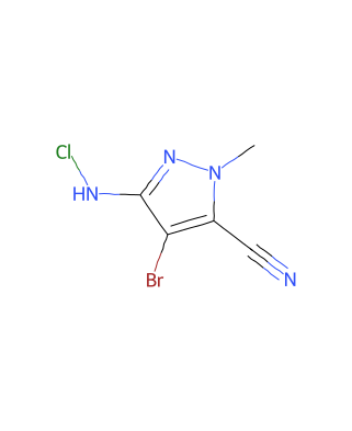 Cn1nc(NCl)c(Br)c1C#N